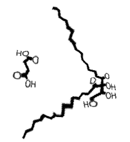 CCCCCCCCCCCCCCCC(=O)C(O)(C(=O)CCCCCCCCCCCCCCC)C(O)CO.O=C(O)CCC(=O)O